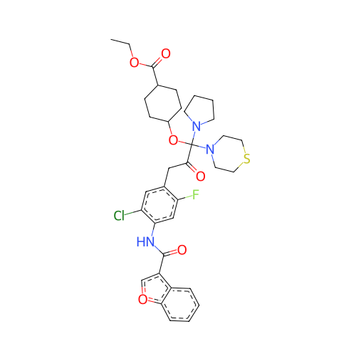 CCOC(=O)C1CCC(OC(C(=O)Cc2cc(Cl)c(NC(=O)c3coc4ccccc34)cc2F)(N2CCCC2)N2CCSCC2)CC1